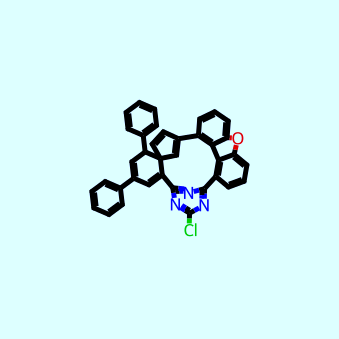 Clc1nc2nc(n1)-c1cccc3oc4cccc(c4c13)C1=CC3(C=C1)C2=CC(c1ccccc1)=CC3c1ccccc1